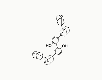 Oc1ccc(C23CC4CC(C2)CC(C25CC6CC(CC(C6)C2)C5)(C4)C3)cc1-c1cc(C23CC4CC(C2)CC(C25CC6CC(CC(C6)C2)C5)(C4)C3)ccc1O